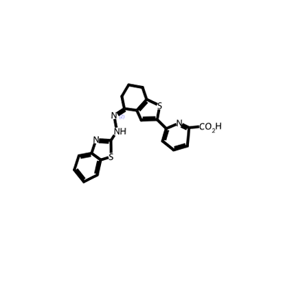 O=C(O)c1cccc(-c2cc3c(s2)CCC/C3=N/Nc2nc3ccccc3s2)n1